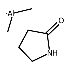 O=C1CCCN1.[CH3][Al][CH3]